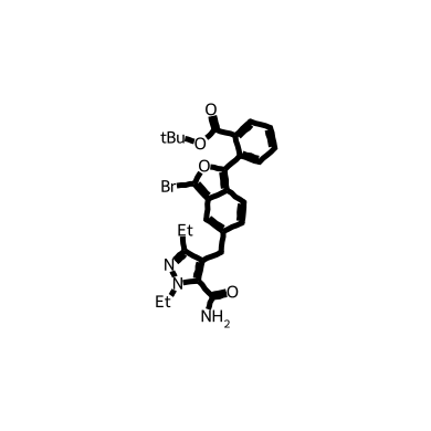 CCc1nn(CC)c(C(N)=O)c1Cc1ccc2c(-c3ccccc3C(=O)OC(C)(C)C)oc(Br)c2c1